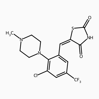 CN1CCN(c2c(Cl)cc(C(F)(F)F)cc2C=C2SC(=O)NC2=O)CC1